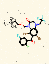 C[Si](C)(C)CCOCN1C(=O)CN(CC(F)(F)F)c2cc(Br)c(C(=O)c3cc(F)ccc3Cl)c(Br)c21